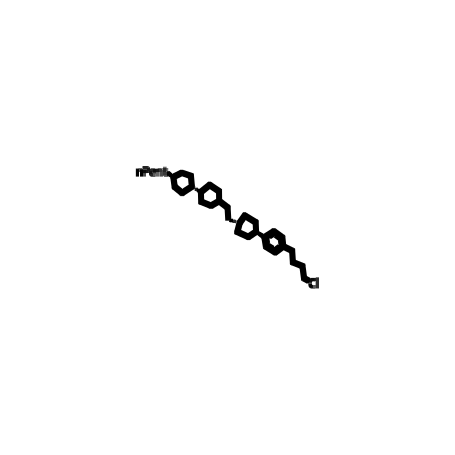 CCCCC[C@H]1CC[C@H](C2CCC(CC[C@H]3CC[C@H](c4ccc(CCCCCl)cc4)CC3)CC2)CC1